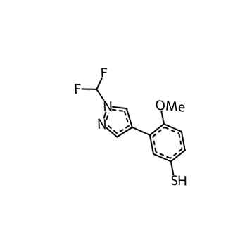 COc1ccc(S)cc1-c1cnn(C(F)F)c1